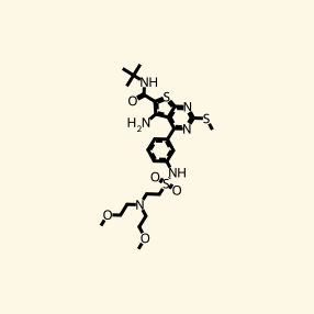 COCCN(CCOC)CCS(=O)(=O)Nc1cccc(-c2nc(SC)nc3sc(C(=O)NC(C)(C)C)c(N)c23)c1